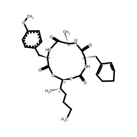 CCCC[C@H](C)[C@@H]1CC(=O)N[C@@H](CC2=CCCC=C2)C(=O)N[C@@H](C)C(=O)N[C@H](Cc2ccc(OC)cc2)C(=O)O1